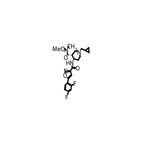 CON(C)C(=O)[C@@H]1CN(CC2CC2)CC[C@H]1NC(=O)c1cc(-c2ccc(F)cc2F)on1